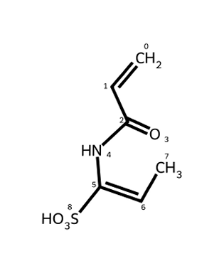 C=CC(=O)NC(=CC)S(=O)(=O)O